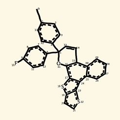 Cc1ccc(C2(c3ccc(F)cc3)C=Cc3c(c4sc5ccsc5c4c4ccccc34)O2)cc1